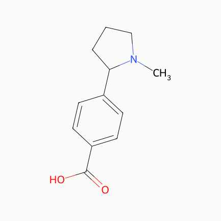 CN1CCCC1c1ccc(C(=O)O)cc1